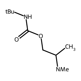 CNC(C)COC(=O)NC(C)(C)C